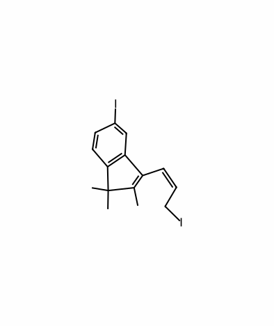 CC1=C(/C=C\CI)c2cc(I)ccc2C1(C)C